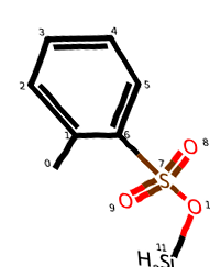 Cc1ccccc1S(=O)(=O)O[SiH3]